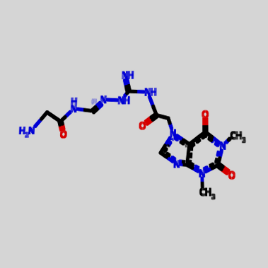 Cn1c(=O)c2c(ncn2CC(=O)NC(=N)N/N=C/NC(=O)CN)n(C)c1=O